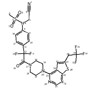 CS(=O)(=O)N(CC#N)c1ccc(C(F)(F)C(=O)N2CCN(c3ncnc4sc(CC(F)(F)F)cc34)CC2)cc1